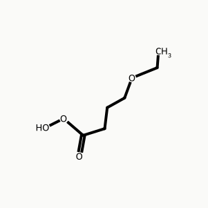 CCOCCCC(=O)OO